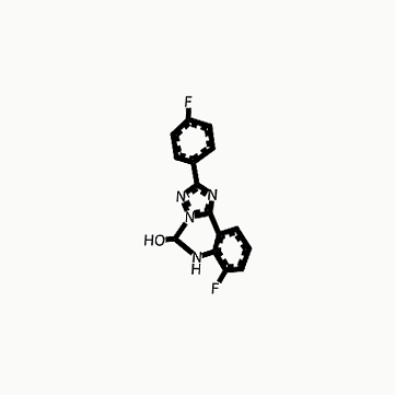 OC1Nc2c(F)cccc2-c2nc(-c3ccc(F)cc3)nn21